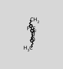 C=CCCc1ccc(-c2ccc(OCC(F)CC3CCC(CCCC)CO3)c(F)c2F)c(F)c1